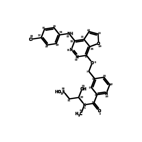 CN(C(=O)c1cc(COc2nnc(Nc3ccc(Cl)cc3)c3ccoc23)ccn1)C(O)CS(=O)(=O)O